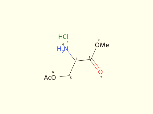 COC(=O)C(N)COC(C)=O.Cl